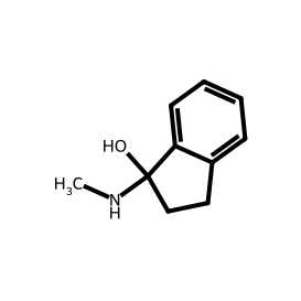 CNC1(O)CCc2ccccc21